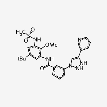 COc1c(NC(=O)c2cccc(N3C=C(c4cccnc4)NN3)c2)cc(C(C)(C)C)cc1NS(C)(=O)=O